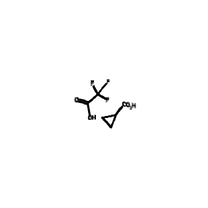 O=C(O)C(F)(F)F.O=C(O)C1CC1